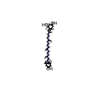 C\C(C=C1C(C)(C)C[C@H](O)C[C@@]1(C)O)=C/C=C/C(C)=C/C=C/C=C(C)/C=C/C=C(C)/C=C/[C@@]12O[C@]1(C)C[C@@H](O)CC2(C)C